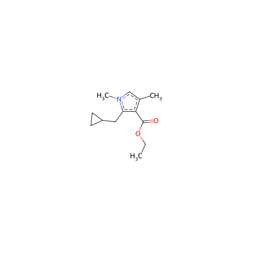 CCOC(=O)c1c(C)cn(C)c1CC1CC1